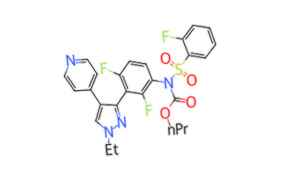 CCCOC(=O)N(c1ccc(F)c(-c2nn(CC)cc2-c2ccncc2)c1F)S(=O)(=O)c1ccccc1F